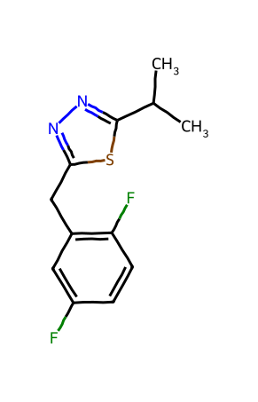 CC(C)c1nnc(Cc2cc(F)ccc2F)s1